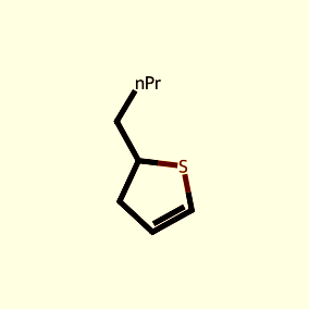 CCCCC1CC=CS1